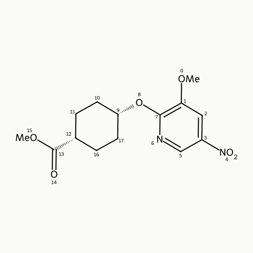 COc1cc([N+](=O)[O-])cnc1O[C@H]1CC[C@@H](C(=O)OC)CC1